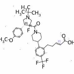 COc1ccc([C@@H]2CN(C(C)(C)C)C[C@@]2(F)C(=O)N2CCC(c3ccc(C(F)(F)F)cc3CC/C=C/C(=O)O)CC2)cc1